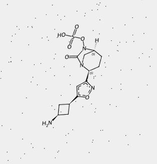 N[C@H]1C[C@@H](c2cc([C@@H]3CC[C@H]4CN3C(=O)N4OS(=O)(=O)O)no2)C1